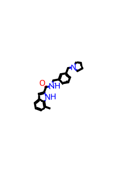 Cc1cccc2cc(C(=O)NCc3cccc(CN4CCCC4)c3)[nH]c12